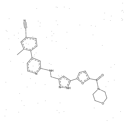 Cc1cc(C#N)ccc1-c1ccnc(NCc2cc(-c3ccc(C(=O)N4CCOCC4)o3)[nH]n2)c1